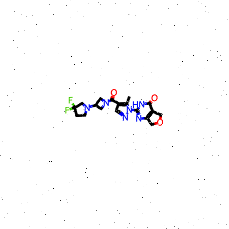 Cc1c(C(=O)N2CC(N3CCC(F)(F)C3)C2)cnn1-c1nc2c(c(=O)[nH]1)COC2